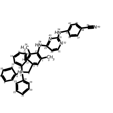 Cc1cc(C[PH](c2ccccc2)(c2ccccc2)c2ccccc2)cc(C)c1Nc1ccnc(Nc2ccc(C#N)cc2)n1